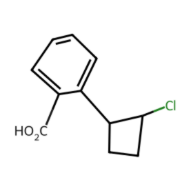 O=C(O)c1ccccc1C1CCC1Cl